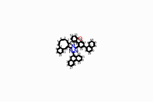 Cc1cccccc2ccccc2cc1-c1nc(C2=c3ccccc3=C3C=CC=CC3C2)nc(-c2cc(-c3cccc4c3CCC=C4)cc3oc4ccccc4c23)n1